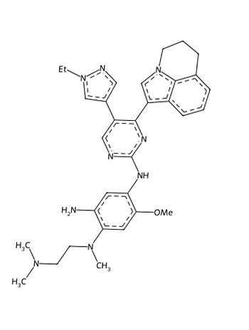 CCn1cc(-c2cnc(Nc3cc(N)c(N(C)CCN(C)C)cc3OC)nc2-c2cn3c4c(cccc24)CCC3)cn1